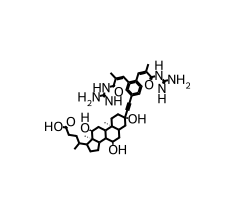 CC(=Cc1ccc(C#C[C@@]2(O)CC[C@@]3(C)C(C[C@@H](O)C4C3C[C@H](O)[C@]3(C)C(C(C)CCC(=O)O)CCC43)C2)cc1C=C(C)C(=O)NC(=N)N)C(=O)NC(=N)N